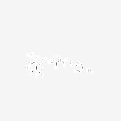 COCC(CO[C@@H]1CCN(C2CCN(c3ncc(C)cn3)CC2)C1=O)Oc1cn[nH]c(=O)c1C(F)(F)F